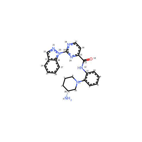 N[C@@H]1CCCN(c2ccccc2NC(=O)c2ccnc(-n3ncc4ccccc43)n2)C1